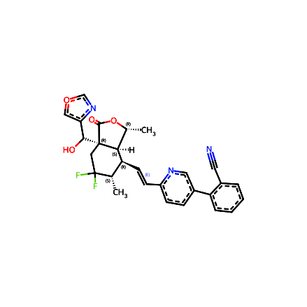 C[C@H]1OC(=O)[C@]2(C(O)c3cocn3)CC(F)(F)[C@@H](C)[C@H](/C=C/c3ccc(-c4ccccc4C#N)cn3)[C@H]12